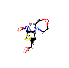 O=Cc1cc(N2CCOCC2)c([N+](=O)[O-])s1